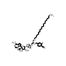 CCCCCCCCCCCCCCCCCCOC[C@H](COP(=O)(O)OC[C@H]1O[C@@](C#N)(c2ccc3c(C)ncnn23)[C@H](O)[C@@H]1O)OCc1ccc(C#N)c(F)c1